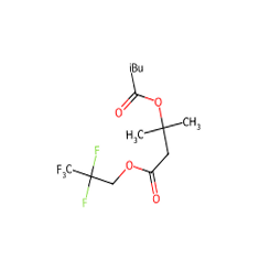 CCC(C)C(=O)OC(C)(C)CC(=O)OCC(F)(F)C(F)(F)F